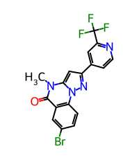 Cn1c(=O)c2cc(Br)ccc2n2nc(-c3ccnc(C(F)(F)F)c3)cc12